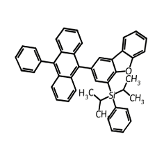 CC(C)[Si](c1ccccc1)(c1cc(-c2c3ccccc3c(-c3ccccc3)c3ccccc23)cc2c1oc1ccccc12)C(C)C